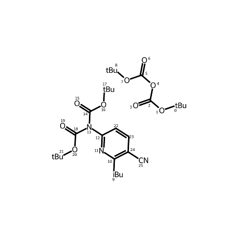 CC(C)(C)OC(=O)OC(=O)OC(C)(C)C.CCC(C)c1nc(N(C(=O)OC(C)(C)C)C(=O)OC(C)(C)C)ccc1C#N